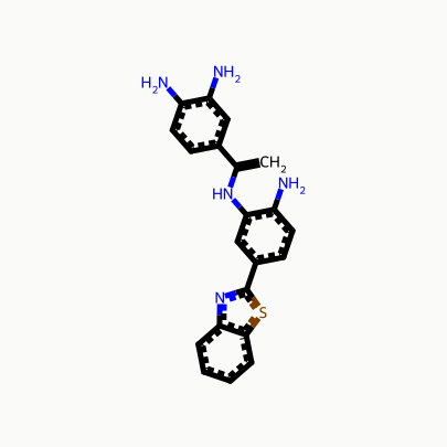 C=C(Nc1cc(-c2nc3ccccc3s2)ccc1N)c1ccc(N)c(N)c1